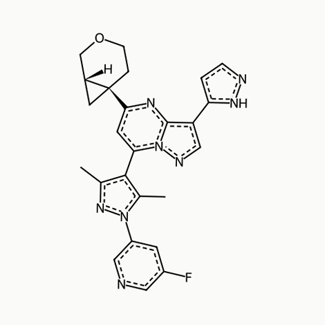 Cc1nn(-c2cncc(F)c2)c(C)c1-c1cc([C@]23CCOC[C@H]2C3)nc2c(-c3ccn[nH]3)cnn12